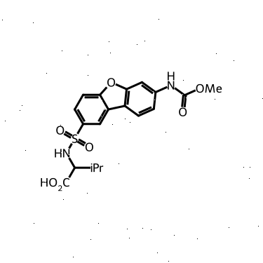 COC(=O)Nc1ccc2c(c1)oc1ccc(S(=O)(=O)NC(C(=O)O)C(C)C)cc12